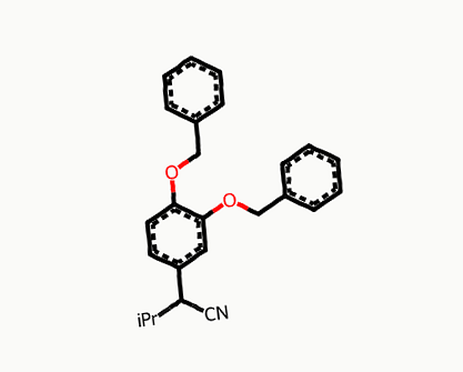 CC(C)C(C#N)c1ccc(OCc2ccccc2)c(OCc2ccccc2)c1